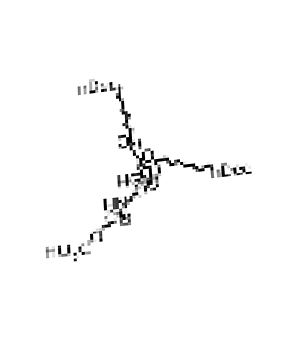 CCCCCCCCCCCCCCCCCC(=O)OC[C@H](COP(=O)(O)OCCNC(=O)OCCOCC(=O)O)OC(=O)CCCCCCCCCCCCCCCCC